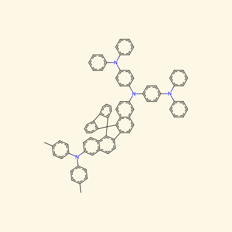 Cc1ccc(N(c2ccc(C)cc2)c2ccc3c4c(ccc3c2)-c2ccc3cc(N(c5ccc(N(c6ccccc6)c6ccccc6)cc5)c5ccc(N(c6ccccc6)c6ccccc6)cc5)ccc3c2C42c3ccccc3-c3ccccc32)cc1